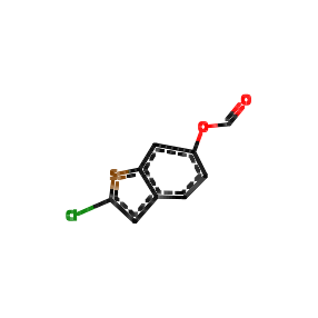 O=COc1ccc2cc(Cl)sc2c1